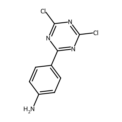 Nc1ccc(-c2nc(Cl)nc(Cl)n2)cc1